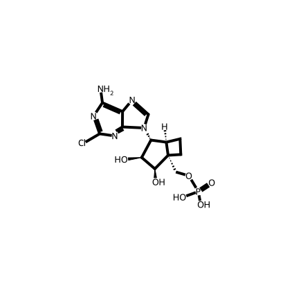 Nc1nc(Cl)nc2c1ncn2[C@H]1[C@H](O)[C@H](O)[C@]2(COP(=O)(O)O)CC[C@H]12